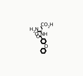 NC(=O)[C@H](CCC(=O)O)NC(=O)c1ccc(Oc2ccccc2)cc1